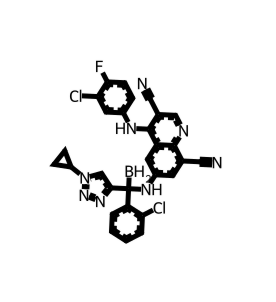 BC(Nc1cc(C#N)c2ncc(C#N)c(Nc3ccc(F)c(Cl)c3)c2c1)(c1cn(C2CC2)nn1)c1ccccc1Cl